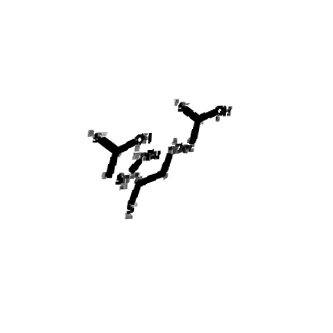 CC(O)[S-].CC(O)[S-].CCCCCCCCCCCC[S-].CCC[CH2][Sn+3]